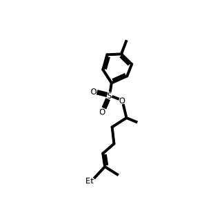 CCC(C)=CCCC(C)OS(=O)(=O)c1ccc(C)cc1